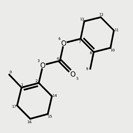 CC1=C(OC(=O)OC2=C(C)CCCC2)CCCC1